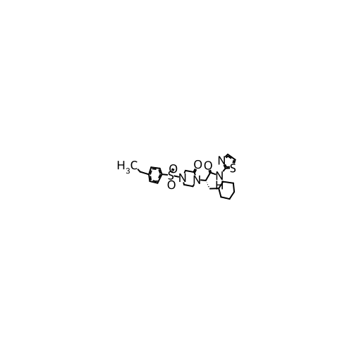 CCc1ccc(S(=O)(=O)N2CCN([C@@H](CC3CCCCC3)C(=O)Nc3nccs3)C(=O)C2)cc1